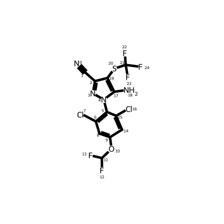 N#Cc1nn(-c2c(Cl)cc(OC(F)F)cc2Cl)c(N)c1SC(F)(F)F